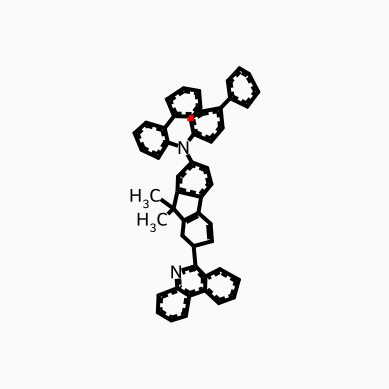 CC1(C)C2=C(C=CC(c3nc4ccccc4c4ccccc34)C2)c2ccc(N(c3ccc(-c4ccccc4)cc3)c3ccccc3-c3ccccc3)cc21